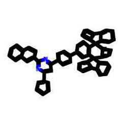 c1ccc(-c2cc(-c3ccc(-c4ccc5c(c4)C4(c6ccccc6-c6ccccc64)c4ccccc4C54c5ccccc5-c5ccccc54)cc3)nc(-c3ccc4ccccc4c3)n2)cc1